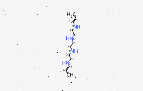 C/C=C/NCCNCCNCCN/C=C/C